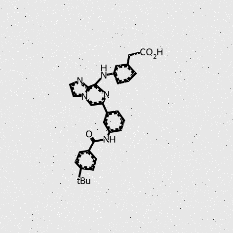 CC(C)(C)c1ccc(C(=O)Nc2cccc(-c3cn4ccnc4c(Nc4cccc(CC(=O)O)c4)n3)c2)cc1